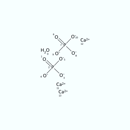 O.O=P([O-])([O-])[O-].O=P([O-])([O-])[O-].[Ca+2].[Ca+2].[Ca+2]